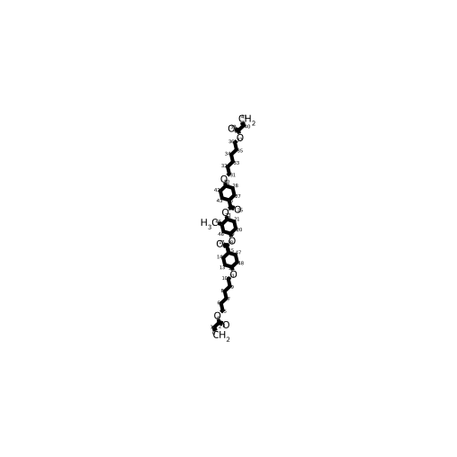 C=CC(=O)OCCCCCCOC1CCC(C(=O)OC2CCC(OC(=O)C3CCC(OCCCCCCOC(=O)C=C)CC3)C(C)C2)CC1